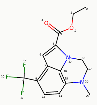 CCOC(=O)c1cc2c(C(F)(F)F)ccc3c2n1CCN3C